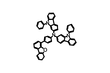 C1=Cc2c(oc3c(-c4ccc(N(c5ccc6c7ccccc7n(-c7ccccc7)c6c5)c5ccc6c7ccccc7n(-c7ccccc7)c6c5)cc4)cccc23)CC1